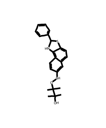 CC(C)(O)C(C)(C)OBc1ccc2c3c(ccc2c1)SC(c1ccccc1)N3